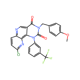 COc1ccc(Cn2c(=O)c3cnc4ccc(Cl)nc4c3n(-c3cccc(C(F)(F)F)c3)c2=O)cc1